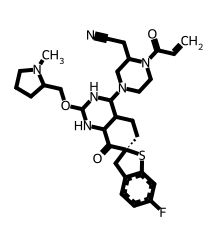 C=CC(=O)N1CCN(C2NC(OCC3CCCN3C)NC3C(=O)[C@]4(CCC32)Cc2ccc(F)cc2S4)CC1CC#N